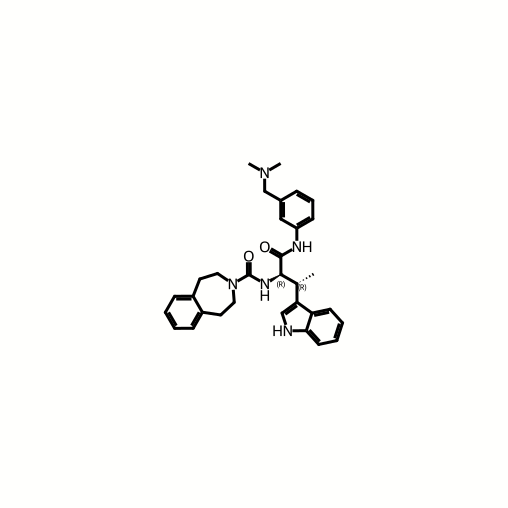 C[C@H](c1c[nH]c2ccccc12)[C@@H](NC(=O)N1CCc2ccccc2CC1)C(=O)Nc1cccc(CN(C)C)c1